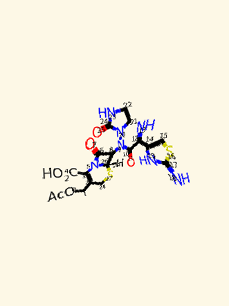 CC(=O)OCC1=C(C(=O)O)N2C(=O)C(N(C(=O)C(=N)c3csc(=N)[nH]3)N3CCNC3=O)[C@@H]2SC1